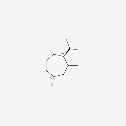 CC(C)[C@@H]1CCC[C@@H](C)CC1C